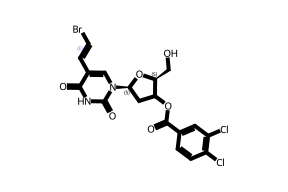 O=C(OC1C[C@@H](n2cc(/C=C/Br)c(=O)[nH]c2=O)O[C@H]1CO)c1ccc(Cl)c(Cl)c1